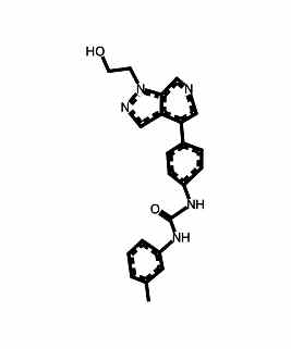 Cc1cccc(NC(=O)Nc2ccc(-c3cncc4c3cnn4CCO)cc2)c1